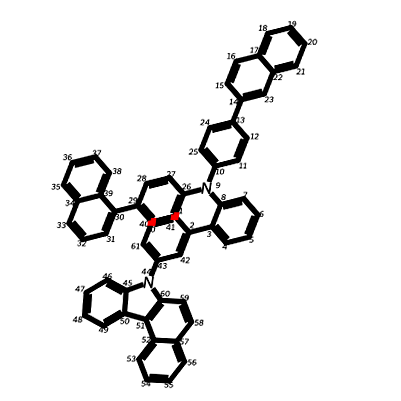 c1cc(-c2ccccc2N(c2ccc(-c3ccc4ccccc4c3)cc2)c2ccc(-c3cccc4ccccc34)cc2)cc(-n2c3ccccc3c3c4ccccc4ccc32)c1